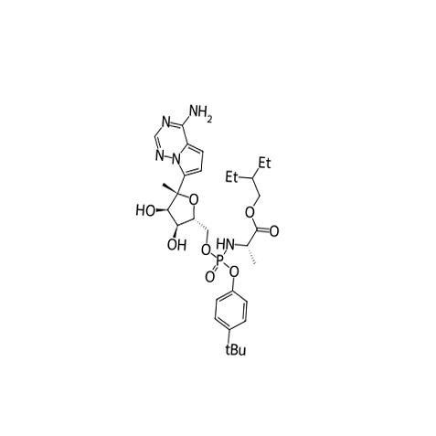 CCC(CC)COC(=O)[C@H](C)NP(=O)(OC[C@H]1O[C@@](C)(c2ccc3c(N)ncnn23)[C@H](O)[C@@H]1O)Oc1ccc(C(C)(C)C)cc1